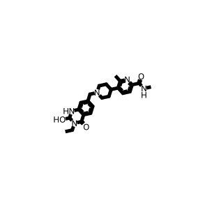 CCN1C(=O)c2ccc(CN3CCC(c4ccc(C(=O)NC)nc4C)CC3)cc2NC1O